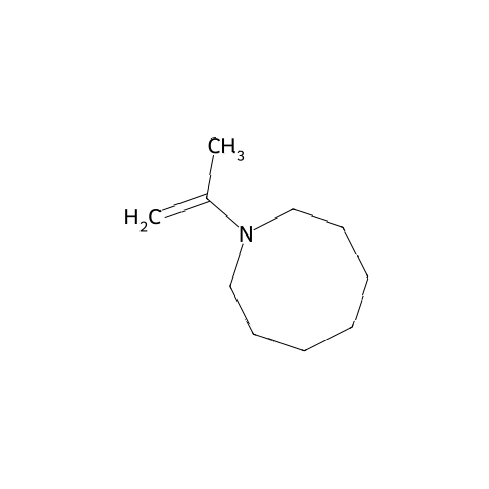 C=C(C)N1CCCCCCC1